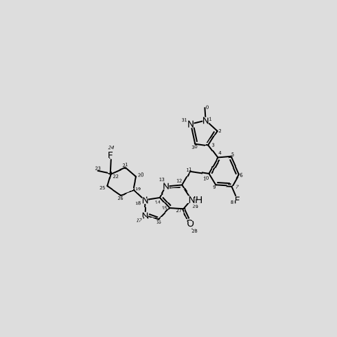 Cn1cc(-c2ccc(F)cc2Cc2nc3c(cnn3C3CCC(C)(F)CC3)c(=O)[nH]2)cn1